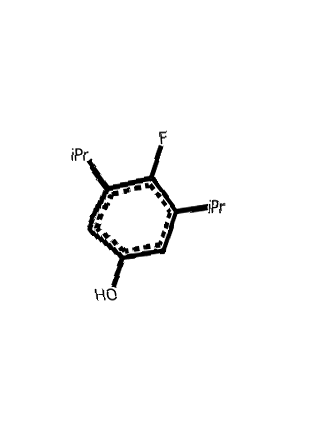 CC(C)c1cc(O)cc(C(C)C)c1F